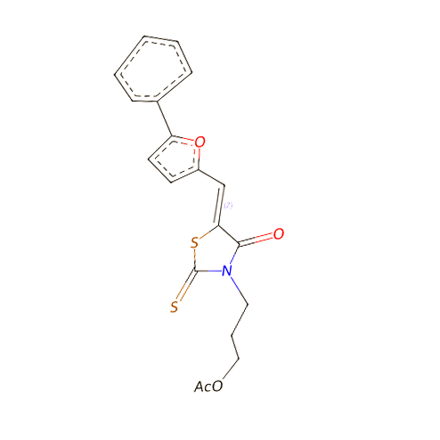 CC(=O)OCCCN1C(=O)/C(=C/c2ccc(-c3ccccc3)o2)SC1=S